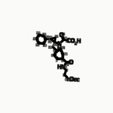 CCCCCCCCCCCCNC(=O)c1ccc(C[C@@]2(NC(=O)C(=O)O)C[C@@H]2c2ccccc2)cc1